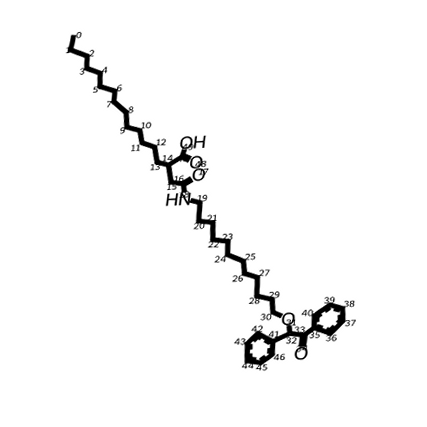 CCCCCCCCCCCCCCC(CC(=O)NCCCCCCCCCCCCOC(C(=O)c1ccccc1)c1ccccc1)C(=O)O